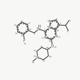 CC(C)c1cnn2c(NCc3ccccc3F)nc(OC3CCN(C)CC3)nc12